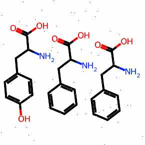 NC(Cc1ccc(O)cc1)C(=O)O.NC(Cc1ccccc1)C(=O)O.NC(Cc1ccccc1)C(=O)O